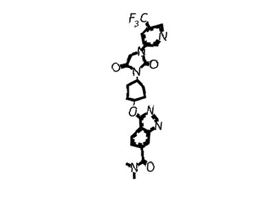 CN(C)C(=O)c1ccc2c(O[C@H]3CC[C@@H](N4C(=O)CN(c5cncc(C(F)(F)F)c5)C4=O)CC3)ncnc2c1